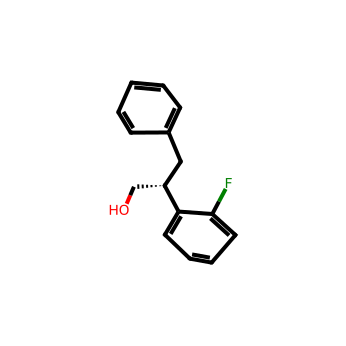 OC[C@H](Cc1ccccc1)c1ccccc1F